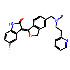 CCN(CCc1ccccn1)Cc1ccc2c(c1)CO/C2=C1/C(=O)Nc2ccc(F)cc21